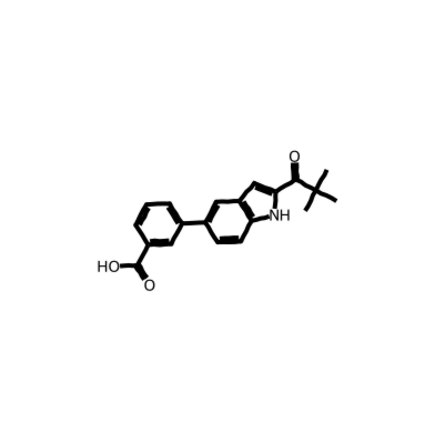 CC(C)(C)C(=O)c1cc2cc(-c3cccc(C(=O)O)c3)ccc2[nH]1